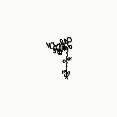 CCN1CCc2c(sc(-n3cccc3)c2CNC(=O)Nc2sc3c(c2C(=O)NCCCCNC(=O)CCCCCNC(=O)OC(C)(C)C)CCCC3)C1